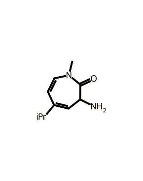 CC(C)C1=CC(N)C(=O)N(C)C=C1